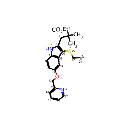 CCOC(=O)C(C)(C)Cc1[nH]c2ccc(OCc3ccccn3)cc2c1SCC(C)C